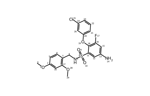 COc1ccc(CNS(=O)(=O)c2cc(N)cc(F)c2Oc2cccc(Cl)c2)c(OC)c1